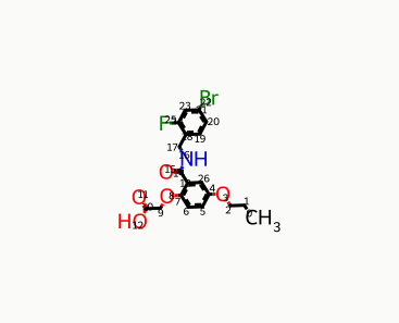 CCCOc1ccc(OCC(=O)O)c(C(=O)NCc2ccc(Br)cc2F)c1